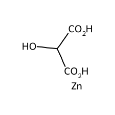 O=C(O)C(O)C(=O)O.[Zn]